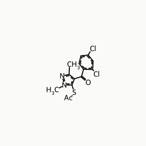 CC(=O)Sc1c(C(=O)c2ccc(Cl)cc2Cl)c(C)nn1C